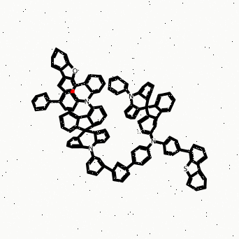 c1ccc(-c2ccc(N(c3ccccc3-c3cccc4c3oc3ccccc34)c3cccc4c3-c3ccccc3C43c4ccccc4N(c4cccc(-c5cccc(-c6ccc(N(c7ccc(-c8cccc9c8sc8ccccc89)cc7)c7ccc8c(c7)-c7ccccc7C87c8ccccc8N(c8ccccc8)c8ccccc87)cc6)c5)c4)c4ccccc43)cc2)cc1